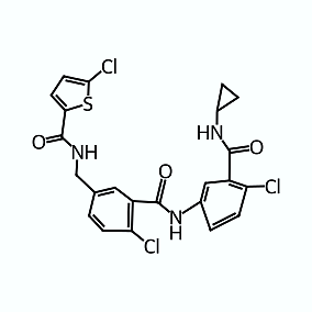 O=C(NCc1ccc(Cl)c(C(=O)Nc2ccc(Cl)c(C(=O)NC3CC3)c2)c1)c1ccc(Cl)s1